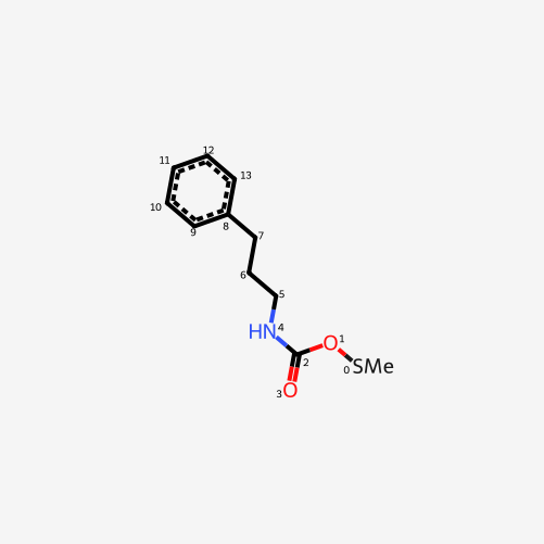 CSOC(=O)NCCCc1ccccc1